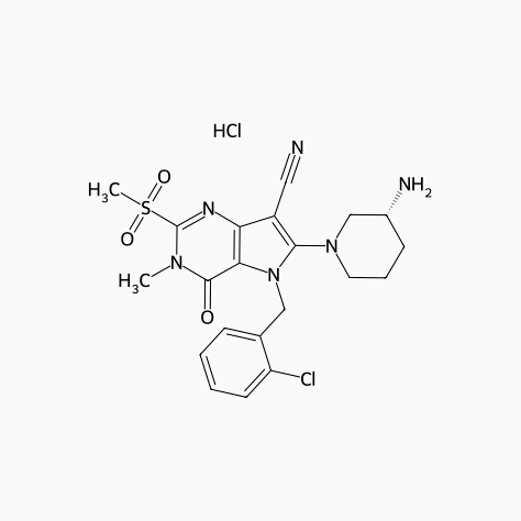 Cl.Cn1c(S(C)(=O)=O)nc2c(C#N)c(N3CCC[C@@H](N)C3)n(Cc3ccccc3Cl)c2c1=O